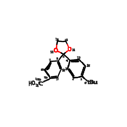 CC(C)(C)c1ccc(C2(c3ccc(C(=O)O)cc3)OCCO2)cc1